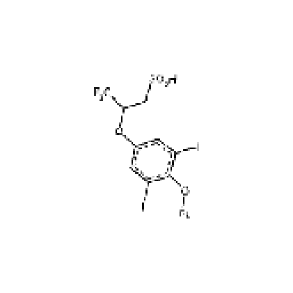 CCOc1c(I)cc(OC(CS(=O)(=O)O)C(F)(F)F)cc1I